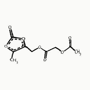 CC(=O)OCC(=O)OCc1oc(=O)oc1C